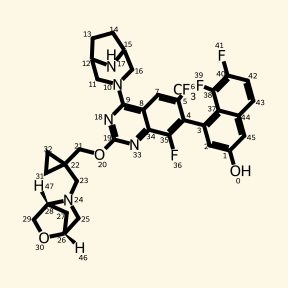 Oc1cc(-c2c(C(F)(F)F)cc3c(N4CC5CCC(C4)N5)nc(OCC4(CN5C[C@H]6C[C@@H]5CO6)CC4)nc3c2F)c2c(F)c(F)ccc2c1